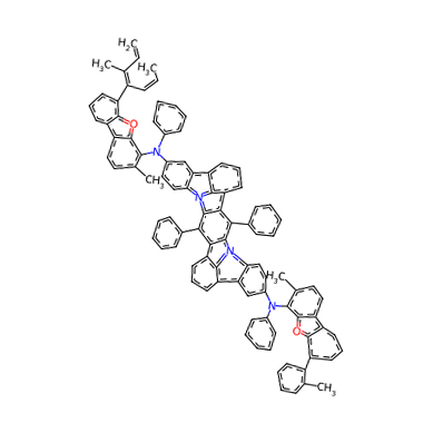 C=C/C(C)=C(\C=C/C)c1cccc2c1oc1c(N(c3ccccc3)c3ccc4c(c3)c3cccc5c6c(-c7ccccc7)c7c(c(-c8ccccc8)c6n4c35)c3cccc4c5cc(N(c6ccccc6)c6c(C)ccc8c6oc6c(-c9ccccc9C)cccc68)ccc5n7c43)c(C)ccc12